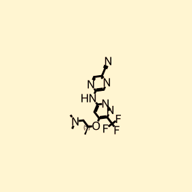 C[C@@H](CN(C)C)Oc1cc(Nc2cnc(C#N)cn2)nnc1C(F)(F)F